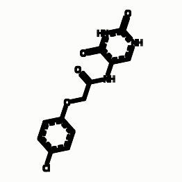 O=C(COc1ccc(Cl)cc1)Nc1c[nH]c(=O)[nH]c1=O